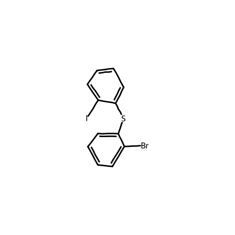 Brc1ccccc1Sc1ccccc1I